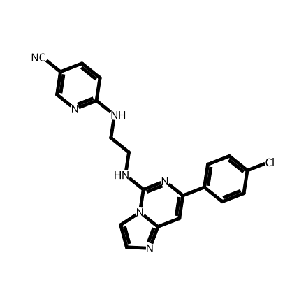 N#Cc1ccc(NCCNc2nc(-c3ccc(Cl)cc3)cc3nccn23)nc1